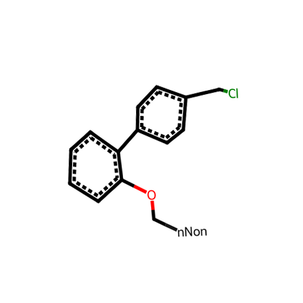 CCCCCCCCCCOc1ccccc1-c1ccc(CCl)cc1